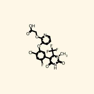 Cn1c(C(F)(F)F)c(-c2cc(Oc3cccnc3OCC(=O)O)c(Cl)cc2F)c(=O)[nH]c1=O